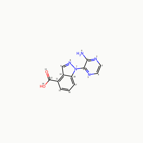 Nc1nccnc1-n1ncc2c(C(=O)O)cccc21